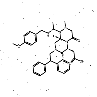 COc1ccc(CNC(C)N2[C@H]3CN(CC(c4ccccc4)c4ccccc4)C(=O)[C@H](CC(=O)O)N3C(=O)CN2C)cc1